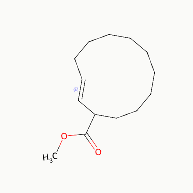 COC(=O)C1/C=C/CCCCCCCCC1